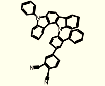 N#Cc1ccc(-c2ccc(-n3c4ccccc4c4ccc5c(c6ccccc6n5-c5ccccc5)c43)c(-c3ccccc3)c2)cc1C#N